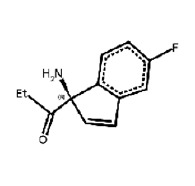 CCC(=O)[C@@]1(N)C=Cc2cc(F)ccc21